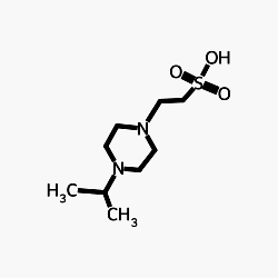 CC(C)N1CCN(CCS(=O)(=O)O)CC1